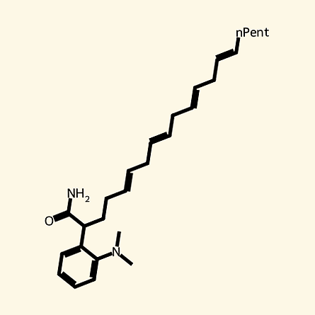 CCCCCC=CCC=CCC=CCC=CCCC(C(N)=O)c1ccccc1N(C)C